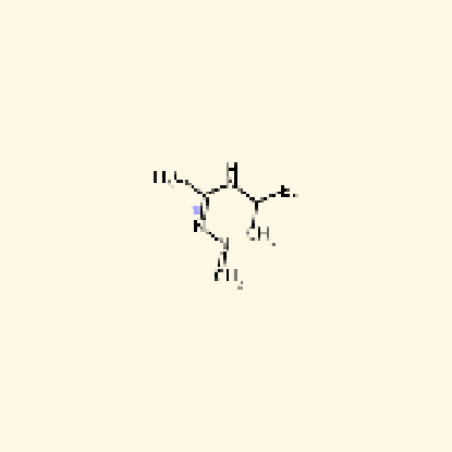 C=N/N=C(/C)NC(C)CC